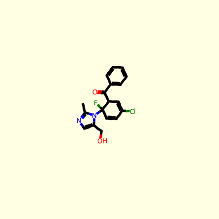 Cc1ncc(CO)n1C1(F)C=CC(Cl)=CC1C(=O)c1ccccc1